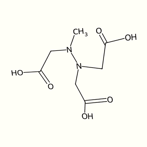 CN(CC(=O)O)N(CC(=O)O)CC(=O)O